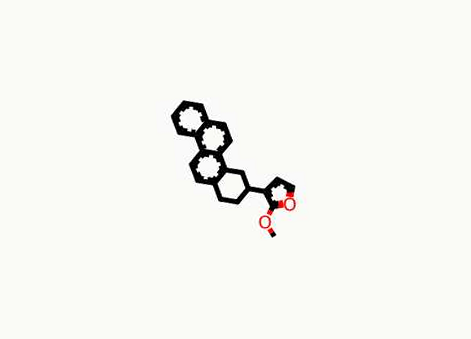 COc1occc1C1CCc2ccc3c(ccc4ccccc43)c2C1